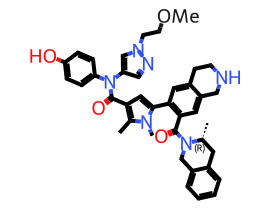 COCCn1cc(N(C(=O)c2cc(-c3cc4c(cc3C(=O)N3Cc5ccccc5C[C@H]3C)CNCC4)n(C)c2C)c2ccc(O)cc2)cn1